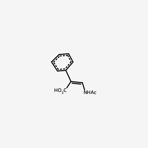 CC(=O)NC=C(C(=O)O)c1ccccc1